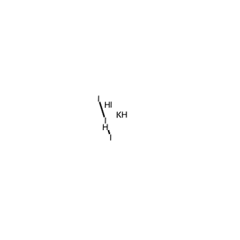 I.I[IH]I.[KH]